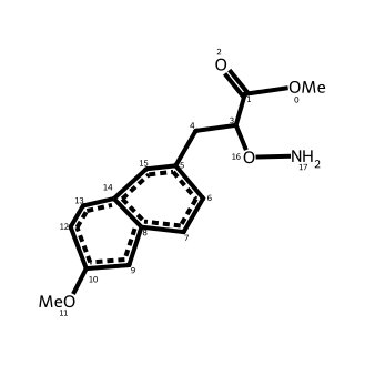 COC(=O)C(Cc1ccc2cc(OC)ccc2c1)ON